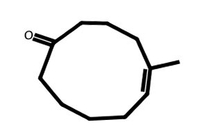 CC1=CCCCCC(=O)CCC1